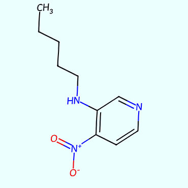 CCCCCNc1cnccc1[N+](=O)[O-]